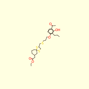 CCCc1c(OCCCSCC2CSC3(CCCC(CC(=O)OCC)C3)S2)ccc(C(C)=O)c1O